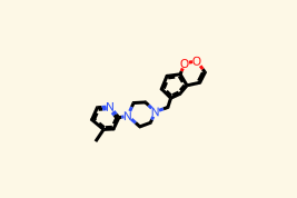 Cc1ccnc(N2CCN(Cc3ccc4c(c3)C=COO4)CC2)c1